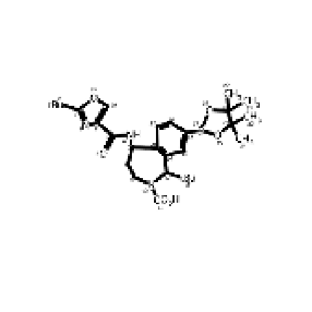 CC(C)(C)c1nc(C(=O)N[C@@H]2CCN(C(=O)O)C(C(C)(C)C)c3cc(B4OC(C)(C)C(C)(C)O4)ccc32)co1